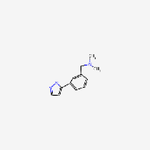 CN(C)Cc1cccc(C2=CC=N[N]2)c1